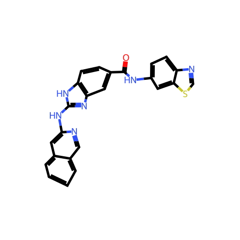 O=C(Nc1ccc2ncsc2c1)c1ccc2[nH]c(Nc3cc4ccccc4cn3)nc2c1